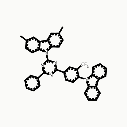 Cc1ccc2c(c1)c1cc(C)ccc1n2-c1nc(-c2ccccc2)nc(-c2ccc(-n3c4ccccc4c4ccccc43)c(C(F)(F)F)c2)n1